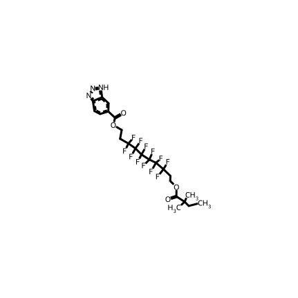 CCC(C)(C)C(=O)OCCC(F)(F)C(F)(F)C(F)(F)C(F)(F)C(F)(F)C(F)(F)CCOC(=O)c1ccc2nn[nH]c2c1